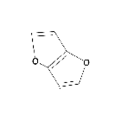 [c]1coc2ccoc12